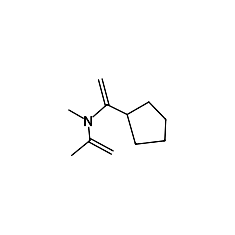 C=C(C)N(C)C(=C)C1CCCC1